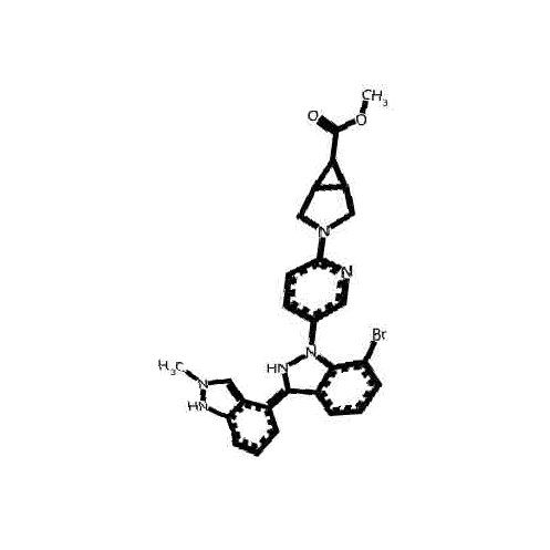 COC(=O)C1C2CN(c3ccc(N4NC(=c5cccc6c5=CN(C)N6)c5cccc(Br)c54)cn3)CC21